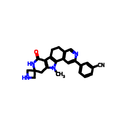 Cn1c2c(c3c1-c1cc(-c4cccc(C#N)c4)ncc1CC3)C(=O)NC1(CNC1)C2